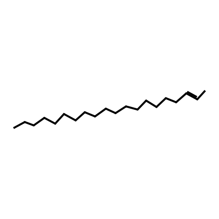 CC=CCCCCCCCCCCCCCCCCC